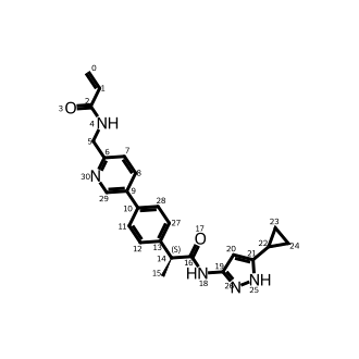 C=CC(=O)NCc1ccc(-c2ccc([C@H](C)C(=O)Nc3cc(C4CC4)[nH]n3)cc2)cn1